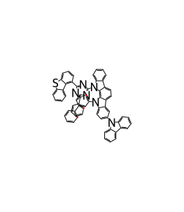 c1ccc(-c2cccc(-n3c4ccc(-n5c6ccccc6c6ccccc65)cc4c4ccc5c6ccccc6n(-c6nc(-c7ccccc7)nc(-c7cccc8sc9ccccc9c78)n6)c5c43)c2)cc1